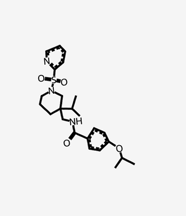 CC(C)Oc1ccc(C(=O)NCC2(C(C)C)CCCN(S(=O)(=O)c3ccccn3)C2)cc1